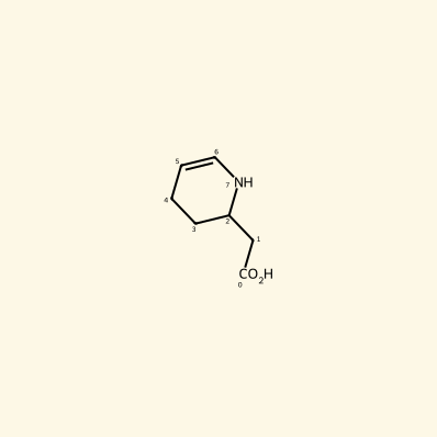 O=C(O)CC1CCC=CN1